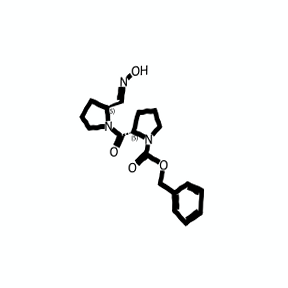 O=C([C@@H]1CCCN1C(=O)OCc1ccccc1)N1CCC[C@H]1C=NO